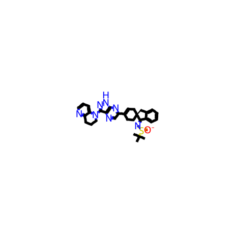 CC(C)(C)[S+]([O-])/N=C1\c2ccccc2C[C@@]12CC=C(c1cnc3c(N4CCCc5ncccc54)n[nH]c3n1)CC2